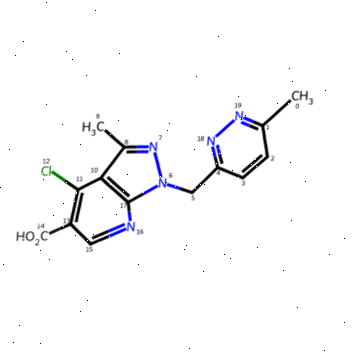 Cc1ccc(Cn2nc(C)c3c(Cl)c(C(=O)O)cnc32)nn1